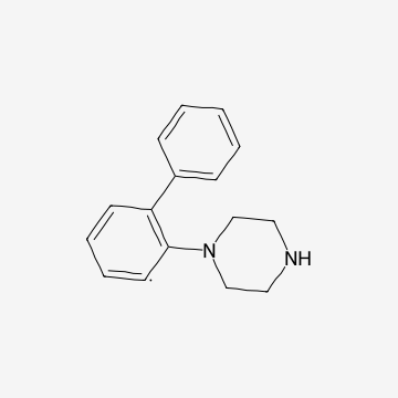 [c]1cccc(-c2ccccc2)c1N1CCNCC1